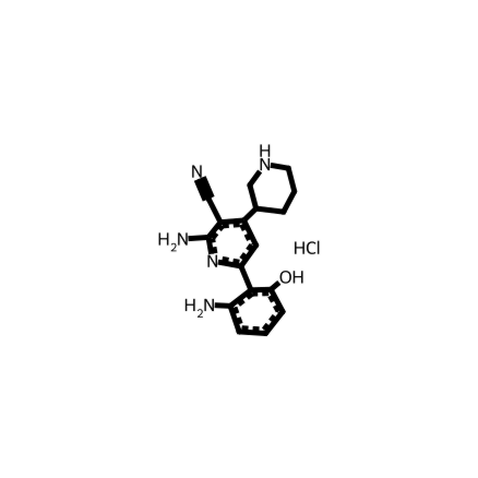 Cl.N#Cc1c(C2CCCNC2)cc(-c2c(N)cccc2O)nc1N